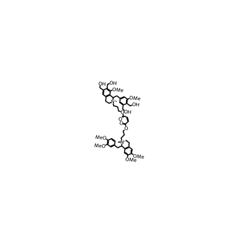 COc1ccc(CC2c3cc(OC)c(OC)cc3CC[N+]2(C)CCCOC(=O)/C=C\C(=O)OCCC[N+]2(C)CCc3cc(CO)c(CO)c(OC)c3C2Cc2cc(CO)c(CO)c(OC)c2)cc1OC